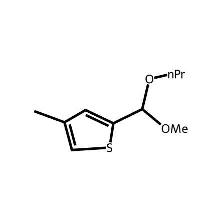 CCCOC(OC)c1cc(C)cs1